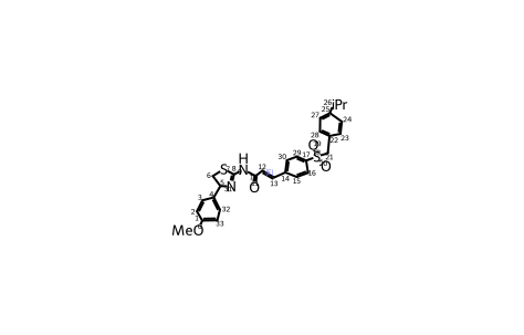 COc1ccc(C2CSC(NC(=O)/C=C/c3ccc(S(=O)(=O)Cc4ccc(C(C)C)cc4)cc3)=N2)cc1